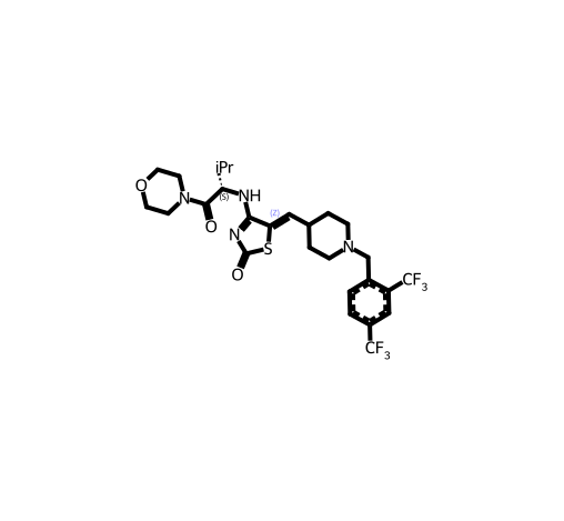 CC(C)[C@H](NC1=NC(=O)S/C1=C\C1CCN(Cc2ccc(C(F)(F)F)cc2C(F)(F)F)CC1)C(=O)N1CCOCC1